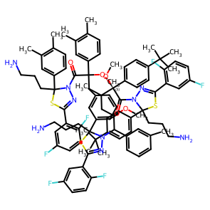 COC(CC(CC(OC)(C(=O)N1N=C(c2cc(F)ccc2F)SC1(CCCN)c1ccc(C)c(C)c1)c1ccc(C)c(C)c1)[C@@](OC)(C(=O)N1N=C(c2cc(F)ccc2F)SC1(CCCN)c1ccc(C(C)(C)C)cc1)c1ccc(C(C)(C)C)cc1)C(c1cccc(C)c1)N1N=C(c2cc(F)ccc2F)SC1(CCCN)c1cccc(C)c1